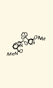 CNC(=O)c1cccn2cc(COc3cnc(OC)cc3C3OCCO3)nc12